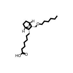 CCCCCCOC[C@@H]1[C@H](CCCCCCC(=O)O)[C@@H]2CC[C@H]1O2